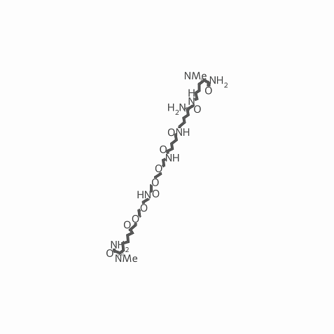 CN[C@@H](CCCCCC(=O)COCCOCCNC(=O)COCCOCCNC(=O)CCCC(=O)NCCCC[C@H](N)C(=O)NCCCC[C@H](NC)C(N)=O)C(N)=O